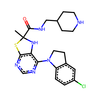 CC1(C(=O)NCC2CCNCC2)Nc2c(ncnc2N2CCc3cc(Cl)ccc32)S1